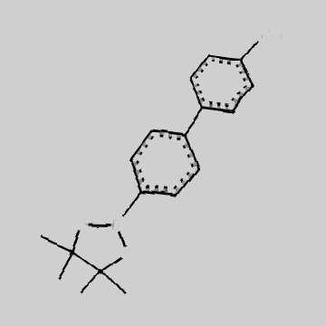 CC(C)(C)c1ccc(-c2ccc(B3OC(C)(C)C(C)(C)O3)cc2)cc1